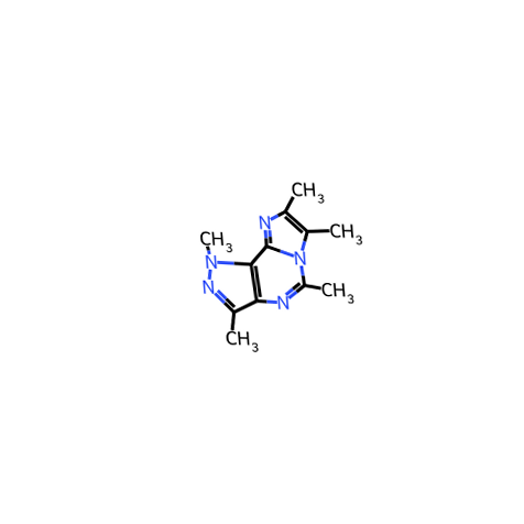 Cc1nc2c3c(nc(C)n2c1C)c(C)nn3C